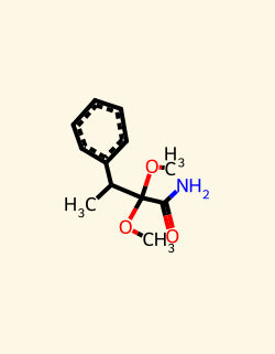 COC(OC)(C(N)=O)C(C)c1ccccc1